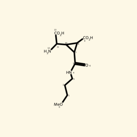 COCCCNC(=O)C1C(C(=O)O)C1C(N)C(=O)O